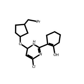 CC(C)CC1CCC(OC2C=C(Cl)N=C(C3=C(O)CCCC3)N2)C1